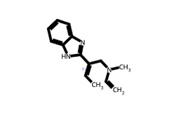 C=CN(C)C/C(=C\C)c1nc2ccccc2[nH]1